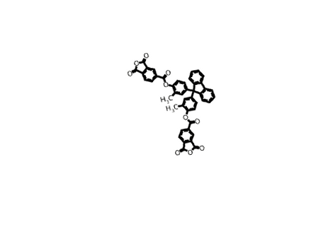 Cc1cc(C2(c3ccc(OC(=O)c4ccc5c(c4)C(=O)OC5=O)c(C)c3)c3ccccc3-c3ccccc32)ccc1OC(=O)c1ccc2c(c1)C(=O)OC2=O